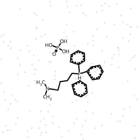 CN(C)CCCC[PH](c1ccccc1)(c1ccccc1)c1ccccc1.O=P(O)(O)O